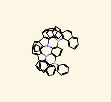 c1ccc(N(c2ccccc2)c2ccc(-n3c4ccccc4c4ccc5ccccc5c43)c(-n3c4ccccc4c4ccc5ccccc5c43)c2-n2c3ccccc3c3ccc4ccccc4c32)cc1